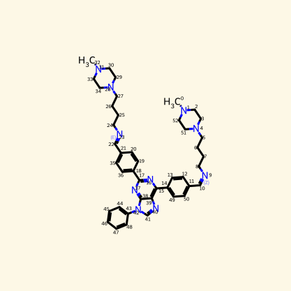 CN1CCN(CCCC/N=C\c2ccc(-c3nc(-c4ccc(/C=N/CCCCN5CCN(C)CC5)cc4)nc4c3ncn4-c3ccccc3)cc2)CC1